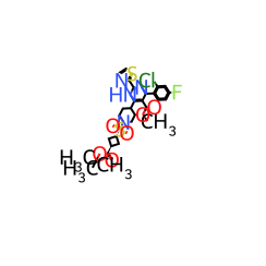 COC(=O)C1=C(C2CCN(S(=O)(=O)[C@H]3C[C@H](C(=O)OC(C)(C)C)C3)CC2)NC(c2nccs2)=NC1c1ccc(F)cc1Cl